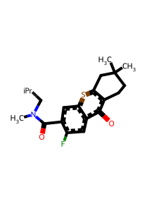 CC(C)CN(C)C(=O)c1cc2sc3c(c(=O)c2cc1F)CCC(C)(C)C3